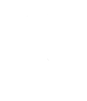 C1=CC(C2CCC(N(C3CCC(C4CCCC(C5CCCC6C5OC5C(C7CCCCC7)=CCC[C@H]56)C4)CC3)C3CCC(C4CC=CC5CCCC54)CC3)CC2)CCC1